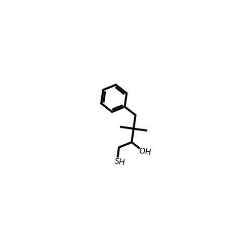 CC(C)(Cc1ccccc1)C(O)CS